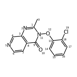 Cc1nc2cnccc2c(=O)n1Oc1ccccc1Cl